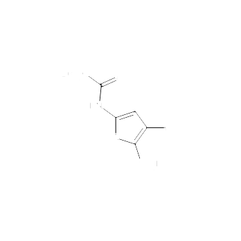 CCCc1cc(NC(=O)C(=O)OCC)sc1C(=O)O